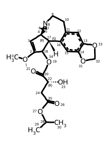 COC1=C[C@]23CCCN2CCc2cc4c(cc2[C@@H]3C1OC(=O)[C@H](O)CC(=O)OC(C)C)OCO4